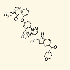 Cc1cc(Oc2ccccc2C(=O)N(C)C)ccc1-n1ncc(C(=O)c2cc3cc(C(=O)N4CCOCC4)ccc3[nH]2)c1N